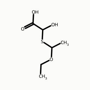 CCOC(C)SC(O)C(=O)O